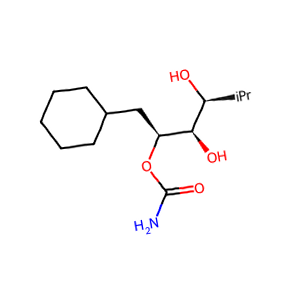 CC(C)[C@H](O)[C@@H](O)[C@H](CC1CCCCC1)OC(N)=O